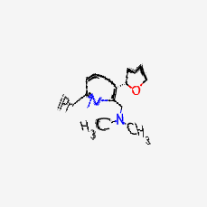 CC(C)c1ccc([C@@H]2CCCO2)c(CN(C)C)n1